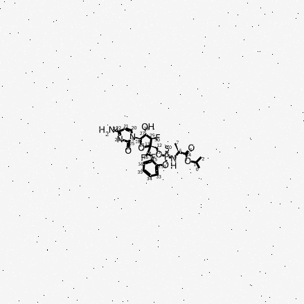 CC(C)OC(=O)[C@H](C)NP(=S)(OC[C@@]1(C(F)F)O[C@@H](n2ccc(N)nc2=O)[C@H](O)[C@H]1F)Oc1ccccc1